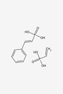 C=CP(=O)(O)O.O=P(O)(O)C=Cc1ccccc1